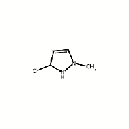 CN1C=[C]C(Cl)N1